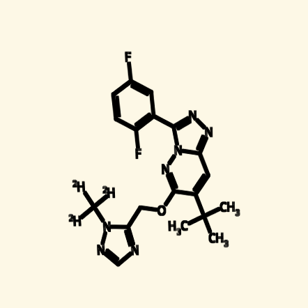 [2H]C([2H])([2H])n1ncnc1COc1nn2c(-c3cc(F)ccc3F)nnc2cc1C(C)(C)C